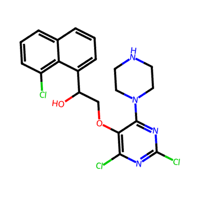 OC(COc1c(Cl)nc(Cl)nc1N1CCNCC1)c1cccc2cccc(Cl)c12